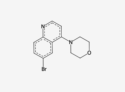 Brc1ccc2nccc(N3CCOCC3)c2c1